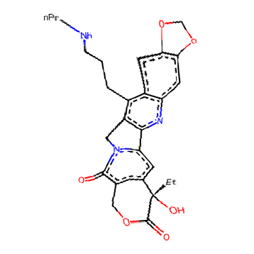 CCCNCCCc1c2c(nc3cc4c(cc13)OCO4)-c1cc3c(c(=O)n1C2)COC(=O)[C@]3(O)CC